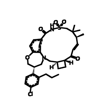 CCCc1cc(Cl)ccc1[C@@H]1COc2ccc3cc2N(C1)C[C@@H]1CC[C@H]1C(=O)/C=C/[C@H](C)C(C)(C)CS(=O)(=O)NC3=O